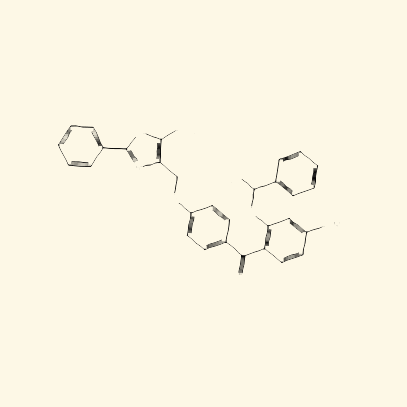 COc1ccc(C(=O)c2ccc(OCc3nc(-c4ccccc4)oc3C)cc2)c(OC(C(=O)O)c2ccccc2)c1